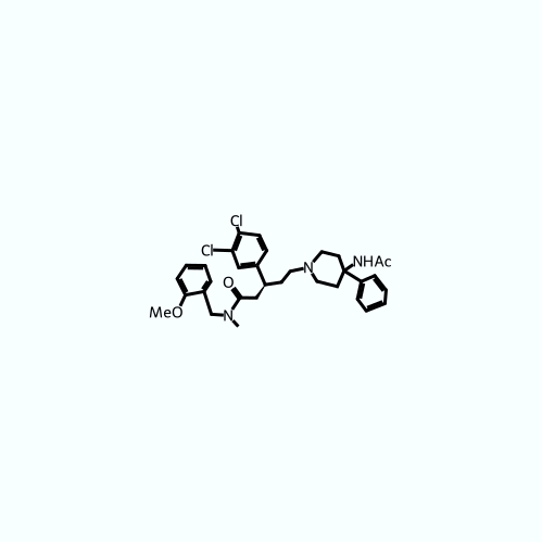 COc1ccccc1CN(C)C(=O)C[C@H](CCN1CCC(NC(C)=O)(c2ccccc2)CC1)c1ccc(Cl)c(Cl)c1